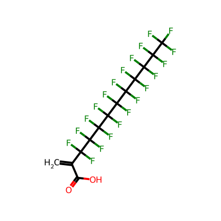 C=C(C(=O)O)C(F)(F)C(F)(F)C(F)(F)C(F)(F)C(F)(F)C(F)(F)C(F)(F)C(F)(F)C(F)(F)C(F)(F)F